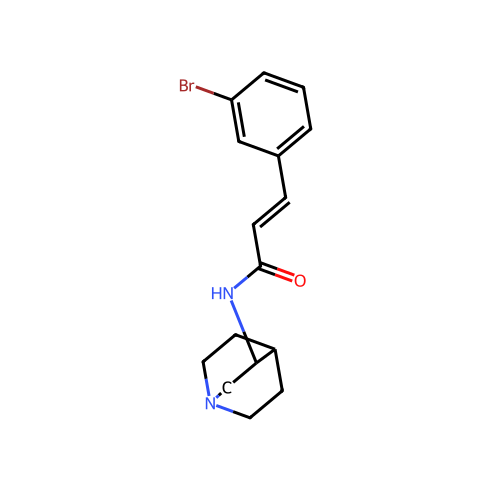 O=C(C=Cc1cccc(Br)c1)NC1CN2CCC1CC2